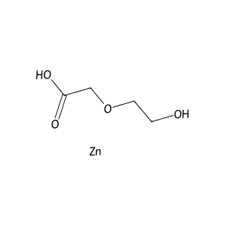 O=C(O)COCCO.[Zn]